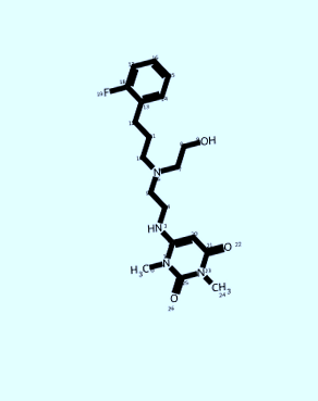 Cn1c(NCCN(CCO)CCCc2ccccc2F)cc(=O)n(C)c1=O